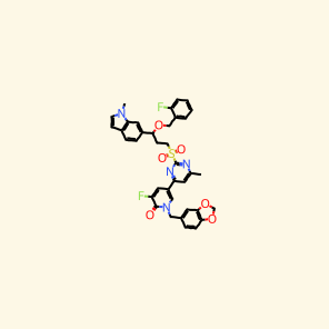 Cc1cc(-c2cc(F)c(=O)n(Cc3ccc4c(c3)OCO4)c2)nc(S(=O)(=O)CCC(OCc2ccccc2F)c2ccc3ccn(C)c3c2)n1